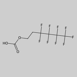 O=C(O)OCCC(F)(F)C(F)(F)C(F)(F)C(F)(F)F